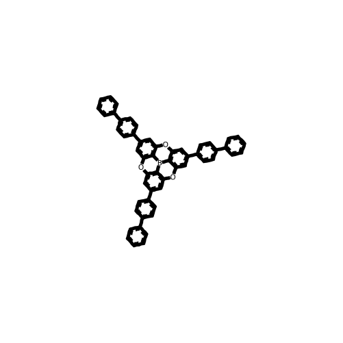 c1ccc(-c2ccc(-c3cc4c5c(c3)Oc3cc(-c6ccc(-c7ccccc7)cc6)cc6c3B5c3c(cc(-c5ccc(-c7ccccc7)cc5)cc3O6)O4)cc2)cc1